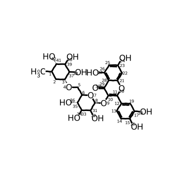 CC1C[C@@H](OCC2O[C@@H](Oc3c(-c4ccc(O)c(O)c4)oc4cc(O)cc(O)c4c3=O)C(O)C(O)[C@@H]2O)C(O)C(O)[C@H]1O